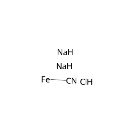 Cl.N#[C][Fe].[NaH].[NaH]